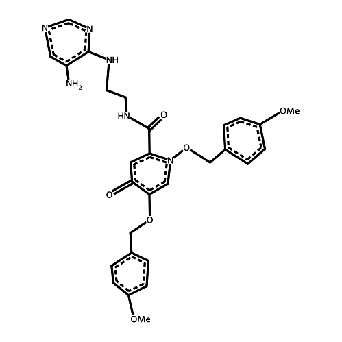 COc1ccc(COc2cn(OCc3ccc(OC)cc3)c(C(=O)NCCNc3ncncc3N)cc2=O)cc1